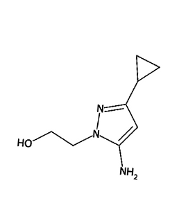 Nc1cc(C2CC2)nn1CCO